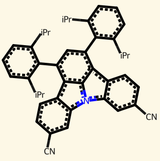 CC(C)c1cccc(C(C)C)c1-c1cc(-c2c(C(C)C)cccc2C(C)C)c2c3ccc(C#N)cc3n3c4cc(C#N)ccc4c1c23